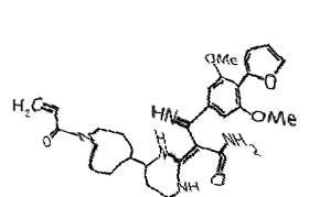 C=CC(=O)N1CCC(C2CCN/C(=C(/C(=N)c3cc(OC)c(-c4ccco4)c(OC)c3)C(N)=O)N2)CC1